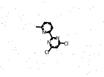 Cc1cccc(-c2nc(Cl)cc(Cl)n2)n1